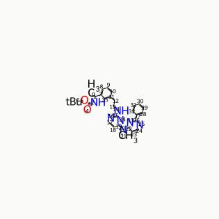 CC(NC(=O)OC(C)(C)C)c1cccc(CCNc2nccc(N(C)c3ccnc(-c4ccccc4)n3)n2)c1